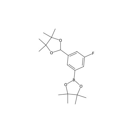 CC1(C)OB(c2cc(F)cc(C3OC(C)(C)C(C)(C)O3)c2)OC1(C)C